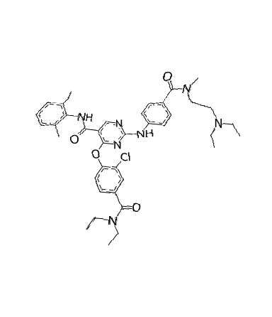 CCN(CC)CCN(C)C(=O)c1ccc(Nc2ncc(C(=O)Nc3c(C)cccc3C)c(Oc3ccc(C(=O)N(CC)CC)cc3Cl)n2)cc1